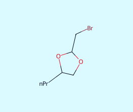 CCCC1COC(CBr)O1